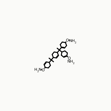 CC(C)(C1C=CC(ON)CC1)C1C=CC(C(C)(C2=CCC(ON)CC2)C2CC=C(ON)CC2)CC1